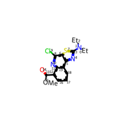 CCN(CC)c1nc2c(s1)c(Cl)nc1c(C(=O)OC)cccc12